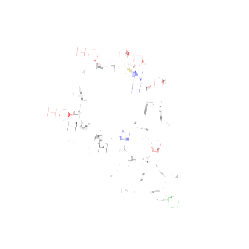 C[C@H]1[C@H](O)C/C=C/[C@H](O)[C@@H]2CC[C@H]2CN2C[C@@]3(CCCc4cc(Cl)ccc43)COc3ccc(cc32)C(=O)NS1(=O)=O